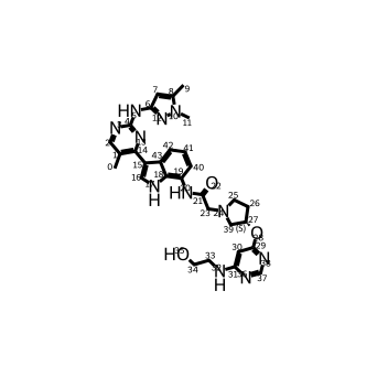 Cc1cnc(Nc2cc(C)n(C)n2)nc1-c1c[nH]c2c(NC(=O)CN3CC[C@H](Oc4cc(NCCO)ncn4)C3)cccc12